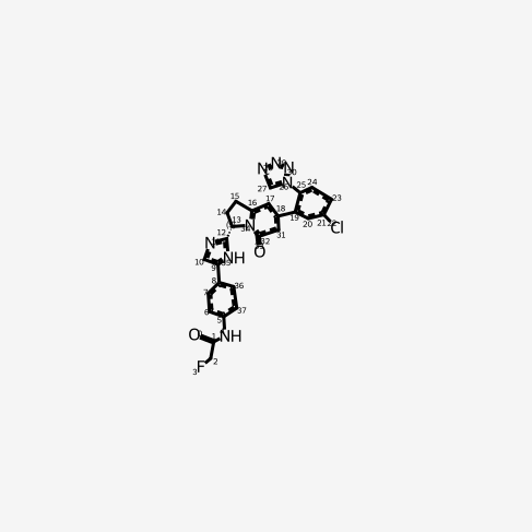 O=C(CF)Nc1ccc(-c2cnc([C@@H]3CCc4cc(-c5cc(Cl)ccc5-n5cnnn5)cc(=O)n43)[nH]2)cc1